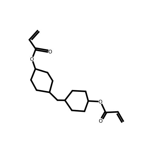 C=CC(=O)OC1CCC(CC2CCC(OC(=O)C=C)CC2)CC1